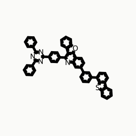 c1ccc(-c2nc(-c3ccccc3)nc(-c3ccc(-c4nc5cc(-c6cccc(-c7cccc8c7sc7ccccc78)c6)ccc5c5oc6ccccc6c45)cc3)n2)cc1